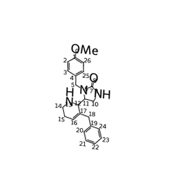 COc1ccc(CN2C(=O)NCC2C2NCCC=C2Cc2ccccc2)cc1